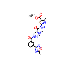 CCCOC(=O)c1sc(NC(=O)C(CNC(=O)c2cccc(-c3noc(C)n3)c2)N(C)C)nc1C